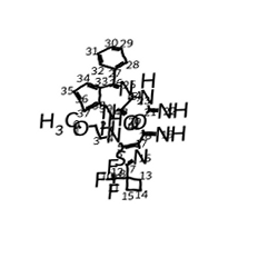 COCCNc1sc(C2(C(F)(F)F)CCC2)nc1C(=N)OC(=N)N[C@H]1N=C(c2ccccc2)c2ccccc2NC1=O